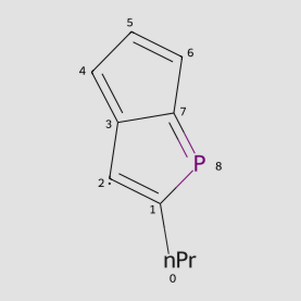 CCCC1=[C]C2=CC=CC2=P1